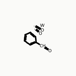 Cc1ccccc1.[C]=O.[C]=O.[C]=O.[W]